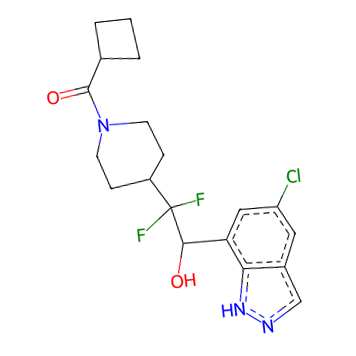 O=C(C1CCC1)N1CCC(C(F)(F)C(O)c2cc(Cl)cc3cn[nH]c23)CC1